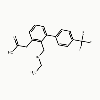 CCNCc1c(CC(=O)O)cccc1-c1ccc(C(F)(F)F)cc1